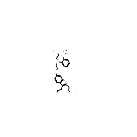 COCCc1[nH]c2cc(OCCN(CCO)c3ccccc3NS(C)(=O)=O)ccc2c1CCC(=O)O